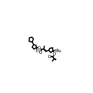 C=C(C)C(=O)OC1(C(C)(C)C)CCC(/C=C(\C)C(=O)OC2(CC)CCC(C3CCCC3)C2)C1